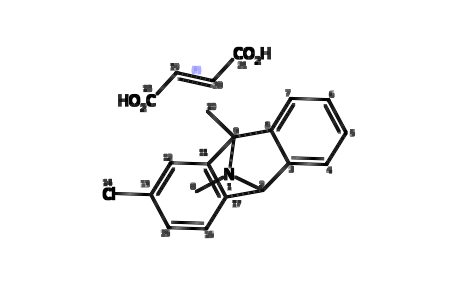 CN1C2c3ccccc3C1(C)c1cc(Cl)ccc12.O=C(O)/C=C/C(=O)O